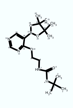 CC(C)(C)OC(=O)NCCOc1ncncc1B1OC(C)(C)C(C)(C)O1